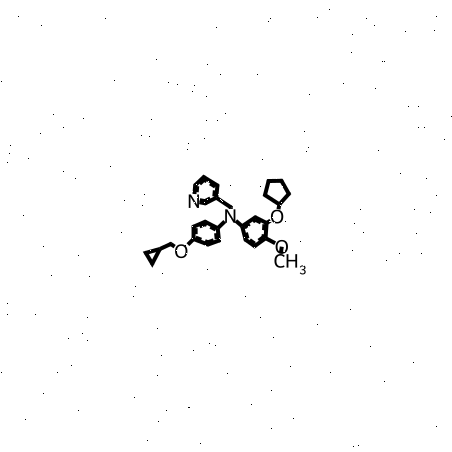 COc1ccc(N(Cc2cccnc2)c2ccc(OCC3CC3)cc2)cc1OC1CCCC1